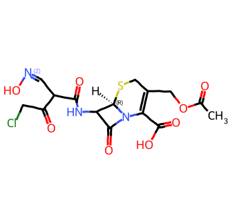 CC(=O)OCC1=C(C(=O)O)N2C(=O)C(NC(=O)C(/C=N\O)C(=O)CCl)[C@H]2SC1